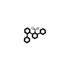 O=[N+]([O-])c1c(-c2ccccc2)cccc1-c1ccccc1-c1ccccc1